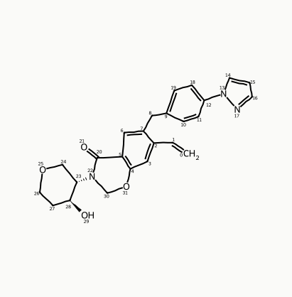 C=Cc1cc2c(cc1Cc1ccc(-n3cccn3)cc1)C(=O)N([C@H]1COCC[C@@H]1O)CO2